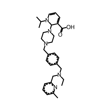 CCN(Cc1ccc(CN2CCN(C3C(C(=O)O)=CC=CN3C(C)C)CC2)cc1)Cc1cccc(C)n1